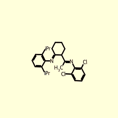 CC(=Nc1c(Cl)cccc1Cl)C1CCCCC1=Nc1c(C(C)C)cccc1C(C)C